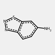 Nc1ccc2nnsc2c1